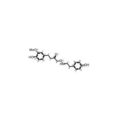 COc1cc(CCC(=O)CONCCc2ccc(O)cc2)ccc1O